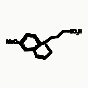 COc1ccc2c(c1)C=CCN2CCCS(=O)(=O)O